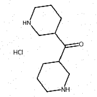 Cl.O=C(C1CCCNC1)C1CCCNC1